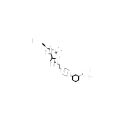 CC#Cc1nc2c3cnn(CCN4CCN(c5cccc([C@@H](C)O)c5)CC4)c3nc(N)n2n1